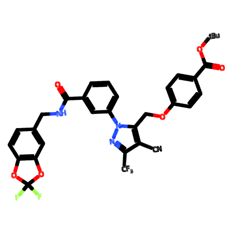 CC(C)(C)OC(=O)c1ccc(OCc2c(C#N)c(C(F)(F)F)nn2-c2cccc(C(=O)NCc3ccc4c(c3)OC(F)(F)O4)c2)cc1